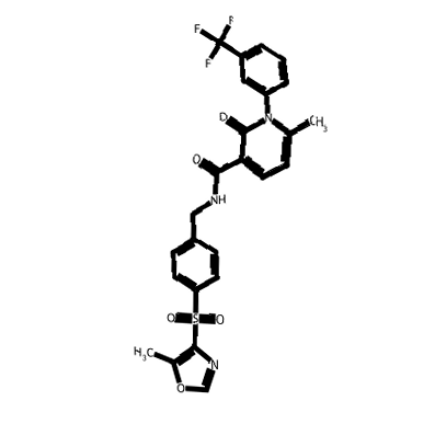 Cc1ocnc1S(=O)(=O)c1ccc(CNC(=O)c2ccc(C)n(-c3cccc(C(F)(F)F)c3)c2=O)cc1